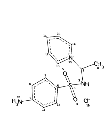 CC(NS(=O)(=O)c1ccc(N)cc1)[n+]1ccccc1.[Cl-]